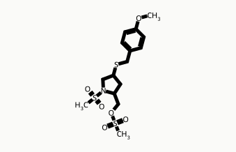 COc1ccc(CSC2CC(COS(C)(=O)=O)N(S(C)(=O)=O)C2)cc1